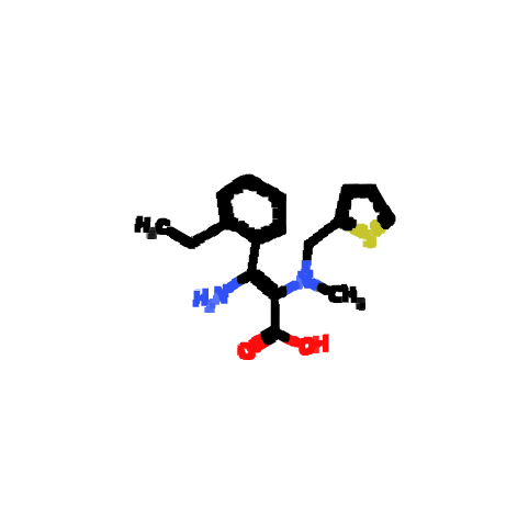 CCc1ccccc1C(N)=C(C(=O)O)N(C)Cc1cccs1